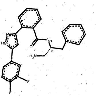 NC[C@@H](Cc1ccccc1)NC(=O)c1ccccc1-c1cc(-c2ccc(F)c(F)c2)[nH]n1